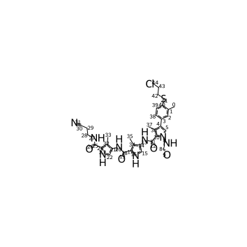 Cc1cc(-c2cn(NC=O)c(C(=O)Nc3c[nH]c(C(=O)Nc4c[nH]c(C(=O)NCCC#N)c4C)c3C)c2C)ccc1SCCCl